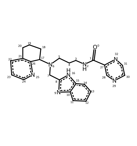 O=C(NCCCN(Cc1nc2ccccc2[nH]1)C1CCCc2cccnc21)c1cnccn1